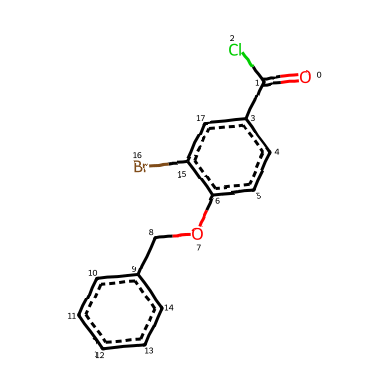 O=C(Cl)c1ccc(OCc2ccccc2)c(Br)c1